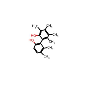 Cc1ccc(O)c(-c2c(C)c(C)c(C)c(C)c2O)c1C